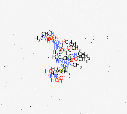 CC(C)Oc1cc(-n2nc(C(C)(C)C)oc2=O)c(Cl)cc1Cl.CCNc1nc(Cl)nc(NC(C)C)n1.COc1cc(OC)nc(NC(=O)NS(=O)(=O)c2ncccc2C(=O)N(C)C)n1.C[S+](C)C.O=C(O)CNCP(=O)([O-])O